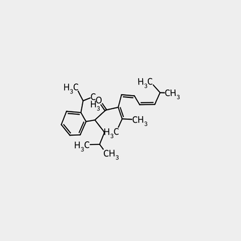 CC(C)=C(/C=C\C=C/C(C)C)C(=O)C(CC(C)C)c1ccccc1C(C)C